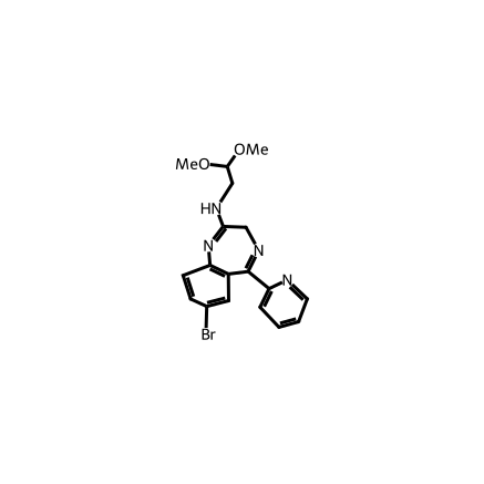 COC(CNC1=Nc2ccc(Br)cc2C(c2ccccn2)=NC1)OC